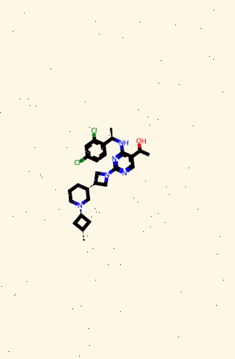 CC(O)c1cnc(N2CC([C@H]3CCCN([C@H]4C[C@@H](C)C4)C3)C2)nc1N[C@H](C)c1ccc(Cl)cc1Cl